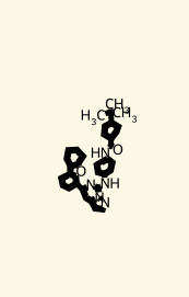 CC(C)(C)c1ccc(C(=O)Nc2ccc(Nc3nc(-c4cccc5c4oc4ccccc45)cc4ccnn34)cc2)cc1